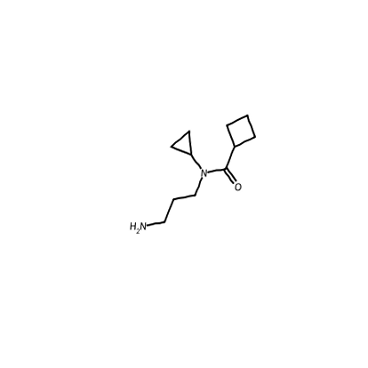 NCCCN(C(=O)C1CCC1)C1CC1